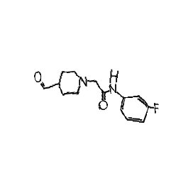 O=CC1CCN(CC(=O)Nc2cccc(F)c2)CC1